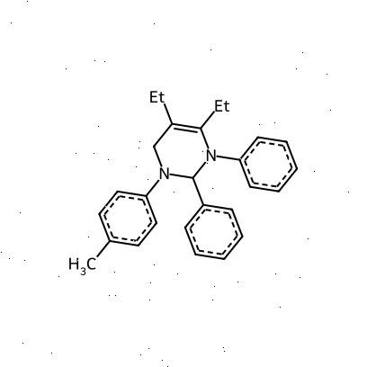 CCC1=C(CC)N(c2ccccc2)C(c2ccccc2)N(c2ccc(C)cc2)C1